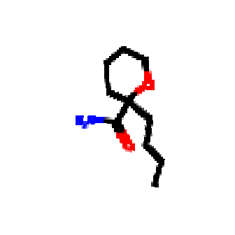 [CH2]CCCC1(C(N)=O)CCCCO1